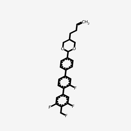 C=CCCC1COC(c2ccc(-c3ccc(-c4cc(F)c(CF)c(F)c4)c(F)c3)cc2)OC1